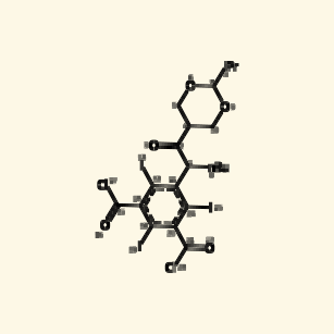 CCCCC(C(=O)C1COC(C(C)C)OC1)c1c(I)c(C(=O)Cl)c(I)c(C(=O)Cl)c1I